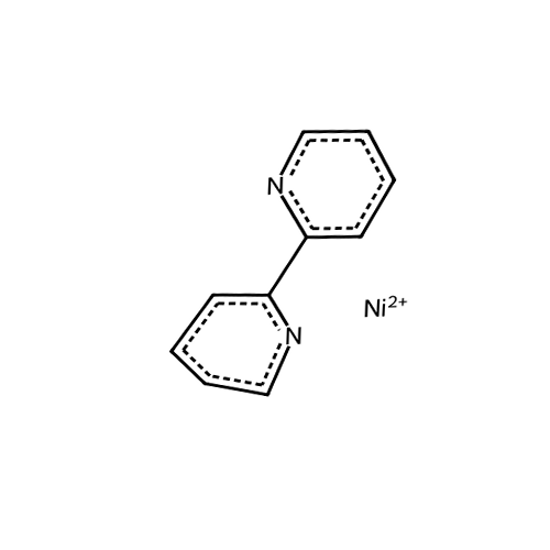 [Ni+2].c1ccc(-c2ccccn2)nc1